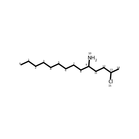 CCCCCCCCCC(N)CCC(C)Cl